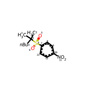 CCCCC(C)(C)S(=O)(=O)c1ccc([N+](=O)[O-])cc1